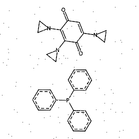 O=C1C=C(N2CC2)C(=O)C(N2CC2)=C1N1CC1.c1ccc(P(c2ccccc2)c2ccccc2)cc1